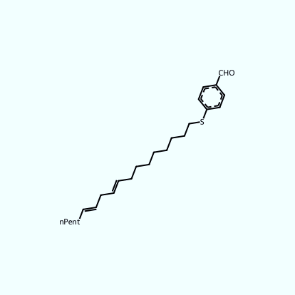 CCCCCC=CCC=CCCCCCCCCSc1ccc(C=O)cc1